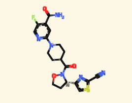 N#Cc1nc([C@@H]2CCON2C(=O)C2CCN(c3cc(C(N)=O)c(F)cn3)CC2)cs1